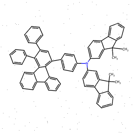 CC1(C)c2ccccc2-c2ccc(N(c3ccc(-c4cc(-c5ccccc5)c(-c5ccccc5)c5c6ccccc6c6ccccc6c45)cc3)c3ccc4c(c3)C(C)(C)c3ccccc3-4)cc21